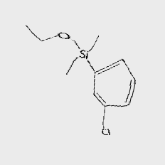 CCO[Si](C)(C)c1cccc(Cl)c1